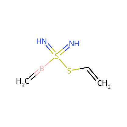 C=BS(=N)(=N)SC=C